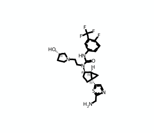 NCc1ncc([C@]23CC[C@@H](N(CCN4CC[C@H](O)C4)C(=O)Nc4ccc(F)c(C(F)(F)F)c4)[C@H]2C3)s1